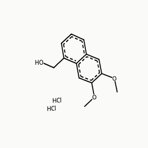 COc1cc2cccc(CO)c2cc1OC.Cl.Cl